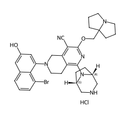 Cl.N#Cc1c(OCC23CCCN2CCC3)nc(N2[C@@H]3CC[C@H]2CNC3)c2c1CN(c1cc(O)cc3cccc(Br)c13)CC2